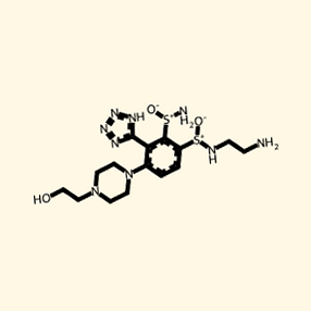 NCCN[S+]([O-])c1ccc(N2CCN(CCO)CC2)c(-c2nnn[nH]2)c1[S+](N)[O-]